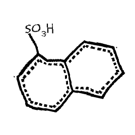 O=S(=O)(O)c1[c]ccc2cc[c]cc12